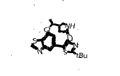 CC(Oc1cc(-c2cnc(C(C)(C)C)s2)cc2ncsc12)C1CNC(=O)C1